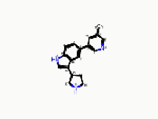 N#Cc1cncc(-c2ccc3[nH]cc(C4CCNC4)c3c2)c1